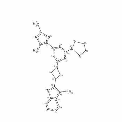 Cc1nc(C)n(-c2cc(N3CC(c4nc5ccccc5n4C)C3)nc(N3CCCC3)n2)n1